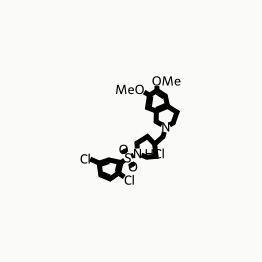 COc1cc2c(cc1OC)CN(CC1CCN(S(=O)(=O)c3cc(Cl)ccc3Cl)CC1)CC2.Cl